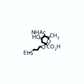 CCSCCCO[C@]1(C(=O)O)C[C@H](O)[C@@H](NC(C)=O)[C@H](C)O1